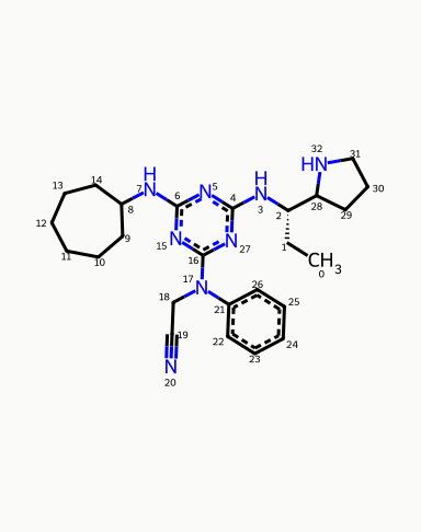 CC[C@H](Nc1nc(NC2CCCCCC2)nc(N(CC#N)c2ccccc2)n1)C1CCCN1